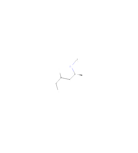 CC(C)CC(C=O)C[C@H](C)NC(C)C